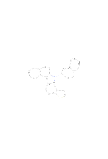 c1ccc2cc(-n3c4ccc5ccccc5c4c4ccc5sccc5c43)ccc2c1